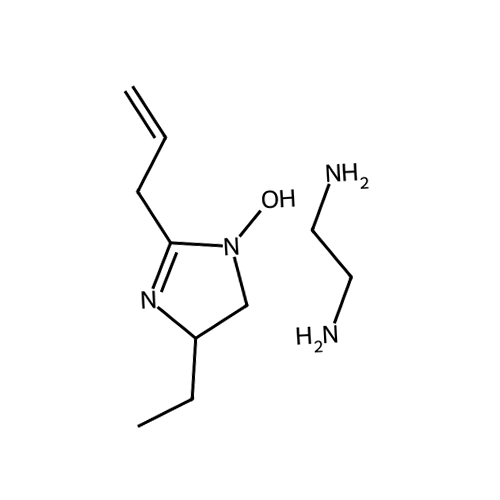 C=CCC1=NC(CC)CN1O.NCCN